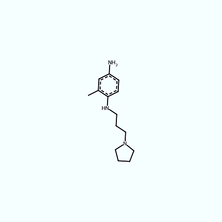 Cc1cc(N)ccc1NCCCN1CCCC1